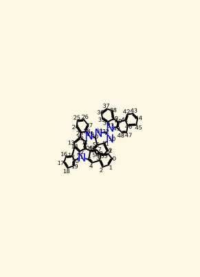 c1ccc2cc3c(cc2c1)c1c2c(cc4c5ccccc5n3c41)c1ccccc1n2-c1nc(-n2c3ccccc3c3c4ccccc4ccc32)nc2ccccc12